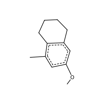 COc1cc(C)c2c(c1)CCCC2